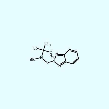 CCC(C)N(Sn1nc2ccccc2n1)C(C)(C)CC